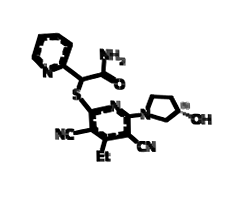 CCc1c(C#N)c(SC(C(N)=O)c2ccccn2)nc(N2CC[C@H](O)C2)c1C#N